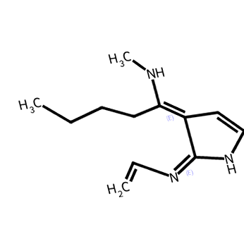 C=C/N=C1/NC=C/C1=C(/CCCC)NC